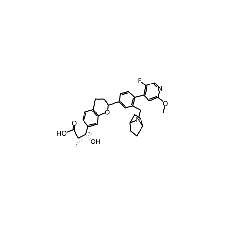 COc1cc(-c2ccc(C3CCc4ccc([C@H](O)[C@H](C)C(=O)O)cc4O3)cc2CN2C3CCC2CC3)c(F)cn1